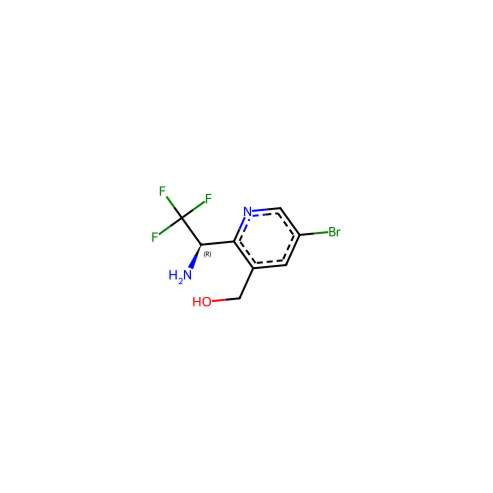 N[C@H](c1ncc(Br)cc1CO)C(F)(F)F